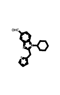 O=Cc1ccc2c(c1)nc(Cc1cccs1)n2C1CCCCC1